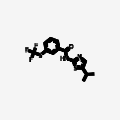 CC(C)c1cnc(NC(=O)c2cccc(SC(F)(F)F)c2)s1